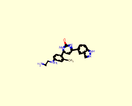 Cc1cc(NCCN)ccc1-c1cc(-c2ccc3[nH]ncc3c2)nc(=O)[nH]1